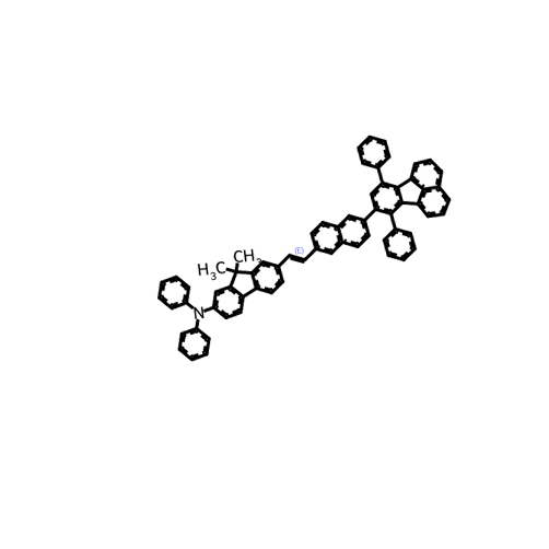 CC1(C)c2cc(/C=C/c3ccc4cc(-c5cc(-c6ccccc6)c6c(c5-c5ccccc5)-c5cccc7cccc-6c57)ccc4c3)ccc2-c2ccc(N(c3ccccc3)c3ccccc3)cc21